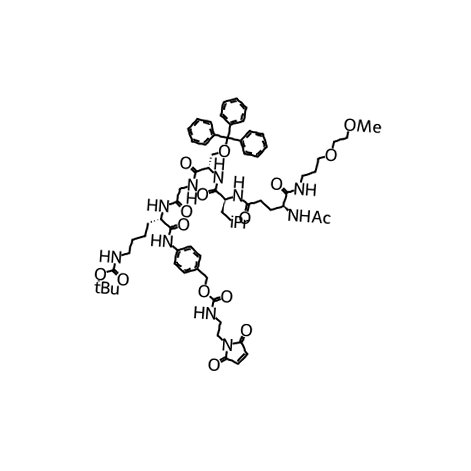 COCCOCCCNC(=O)[C@H](CCC(=O)N[C@@H](CC(C)C)C(=O)N[C@@H](COC(c1ccccc1)(c1ccccc1)c1ccccc1)C(=O)NCC(=O)N[C@@H](CCCCNC(=O)OC(C)(C)C)C(=O)Nc1ccc(COC(=O)NCCN2C(=O)C=CC2=O)cc1)NC(C)=O